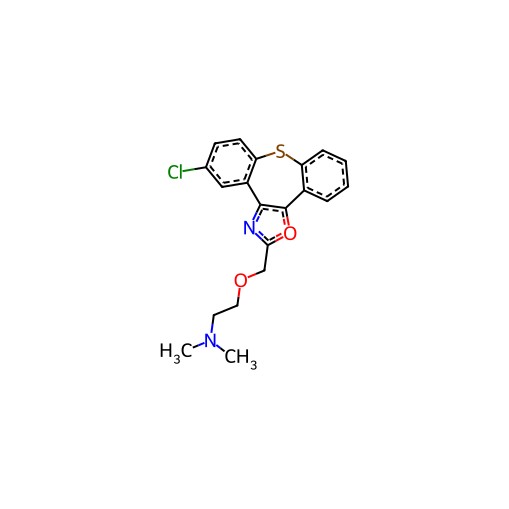 CN(C)CCOCc1nc2c(o1)-c1ccccc1Sc1ccc(Cl)cc1-2